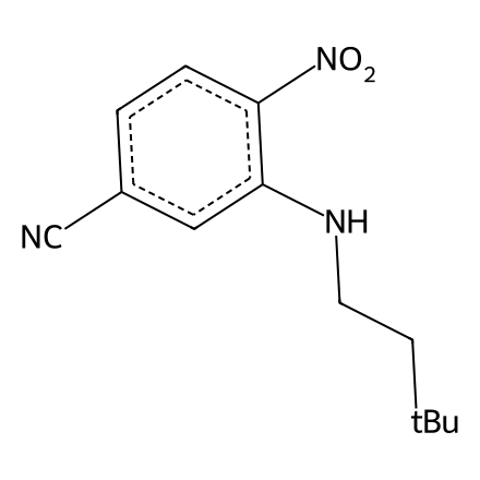 CC(C)(C)CCNc1cc(C#N)ccc1[N+](=O)[O-]